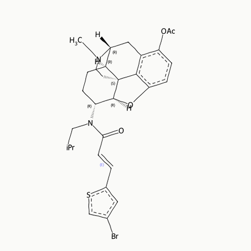 CC(=O)Oc1ccc2c3c1C[C@@H]1[C@@H]4CC[C@@H](N(CC(C)C)C(=O)/C=C/c5cc(Br)cs5)[C@H](O2)[C@]34CCN1C